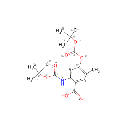 Cc1cc(C(=O)O)c(NC(=O)OC(C)(C)C)cc1OC(=O)OC(C)(C)C